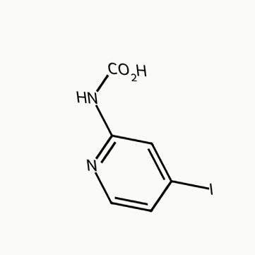 O=C(O)Nc1cc(I)ccn1